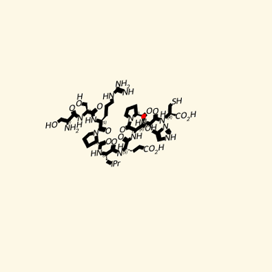 CC(C)C[C@H](NC(=O)[C@@H]1CCCN1C(=O)[C@H](CCCNC(=N)N)NC(=O)[C@H](CO)NC(=O)[C@@H](N)CO)C(=O)N[C@@H](CCC(=O)O)C(=O)N[C@H](C(=O)N1CCC[C@H]1C(=O)N[C@@H](Cc1c[nH]cn1)C(=O)N[C@@H](CS)C(=O)O)[C@@H](C)O